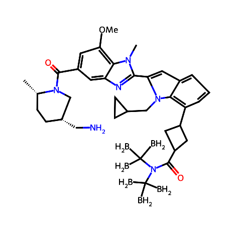 BC(B)(B)N(C(=O)C1CC(c2cccc3cc(-c4nc5cc(C(=O)N6C[C@H](CN)CC[C@@H]6C)cc(OC)c5n4C)n(CC4CC4)c23)C1)C(B)(B)B